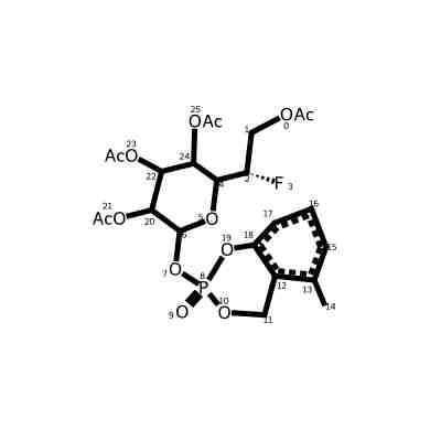 CC(=O)OC[C@H](F)C1OC(OP2(=O)OCc3c(C)cccc3O2)C(OC(C)=O)C(OC(C)=O)C1OC(C)=O